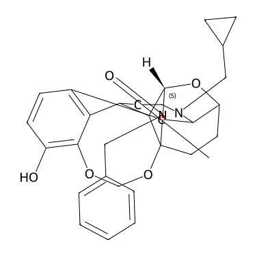 O=C1[C@H]2OC3CCC4(OCOc5c(O)ccc6c5C(CCN(CC5CC5)C3C6)C24)N1Cc1ccccc1